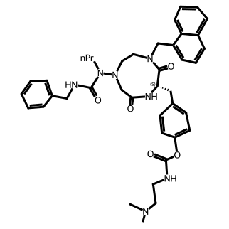 CCCN(C(=O)NCc1ccccc1)N1CCN(Cc2cccc3ccccc23)C(=O)[C@H](Cc2ccc(OC(=O)NCCN(C)C)cc2)NC(=O)C1